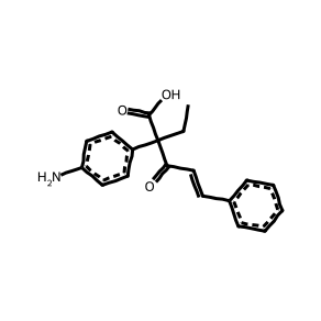 CCC(C(=O)O)(C(=O)C=Cc1ccccc1)c1ccc(N)cc1